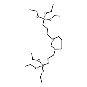 CCO[Si](CCCN1CCCN(CCC[Si](OCC)(OCC)OCC)C1)(OCC)OCC